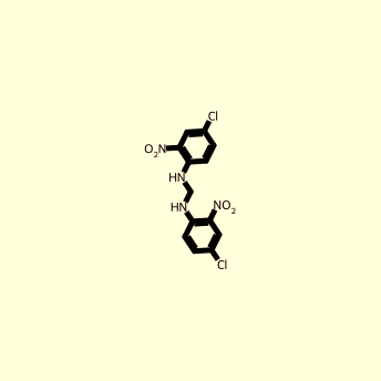 O=[N+]([O-])c1cc(Cl)ccc1NCNc1ccc(Cl)cc1[N+](=O)[O-]